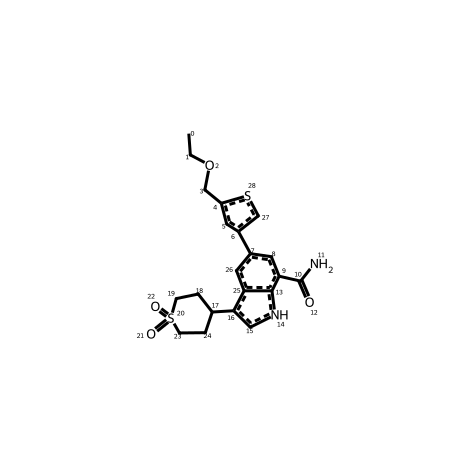 CCOCc1cc(-c2cc(C(N)=O)c3[nH]cc(C4CCS(=O)(=O)CC4)c3c2)cs1